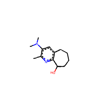 Cc1nc2c(cc1N(C)C)CCCCC2O